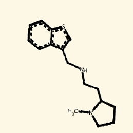 CN1CCCC1CCNCc1csc2ccccc12